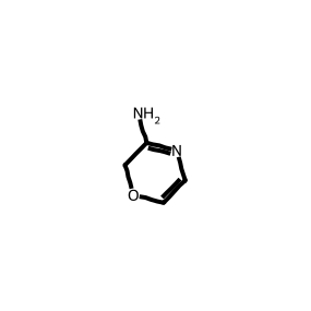 NC1=NC=COC1